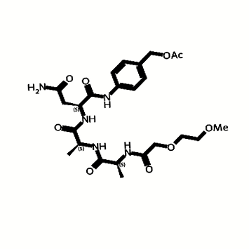 COCCOCC(=O)N[C@@H](C)C(=O)N[C@@H](C)C(=O)N[C@@H](CC(N)=O)C(=O)Nc1ccc(COC(C)=O)cc1